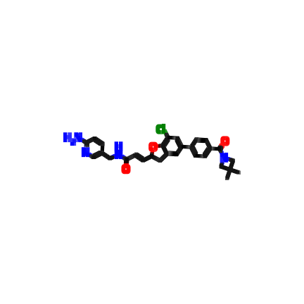 CC1(C)CN(C(=O)c2ccc(-c3cc(Cl)c4c(c3)CC(C=CC(=O)NCc3ccc(N)nc3)O4)cc2)C1